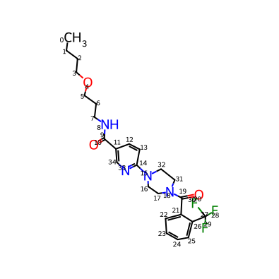 CCCCOCCCNC(=O)c1ccc(N2CCN(C(=O)c3ccccc3C(F)(F)F)CC2)nc1